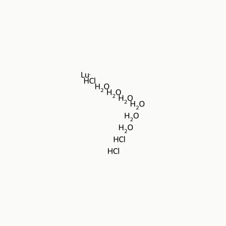 Cl.Cl.Cl.O.O.O.O.O.O.[Lu]